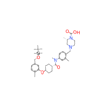 Cc1cc(N(C)C(=O)[C@H]2CC[C@H](Oc3cc(CO[Si](C)(C)C(C)(C)C)ccc3C)CC2)ccc1CN1CCN(C(=O)O)[C@@H](C)C1